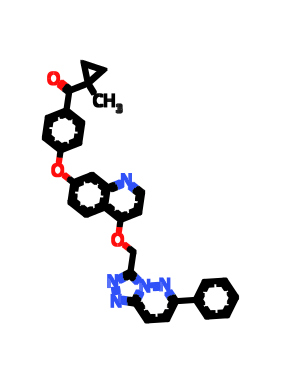 CC1(C(=O)c2ccc(Oc3ccc4c(OCc5nnc6ccc(-c7ccccc7)nn56)ccnc4c3)cc2)CC1